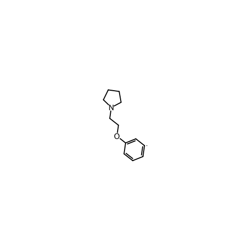 [c]1cccc(OCCN2CCCC2)c1